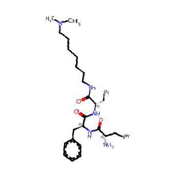 CC(C)C[C@H](NC(=O)[C@H](Cc1ccccc1)NC(=O)[C@@H](N)CC(C)C)C(=O)NCCCCCCCN(C)C